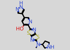 CN(c1nc2sc(-c3ncc(-c4cn[nH]c4)cc3O)nc2s1)C1CCNC1